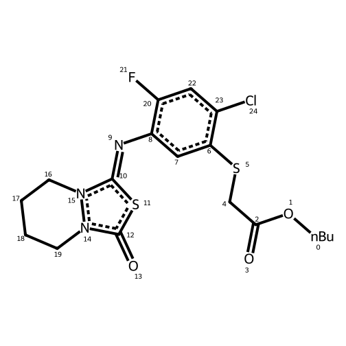 CCCCOC(=O)CSc1cc(N=c2sc(=O)n3n2CCCC3)c(F)cc1Cl